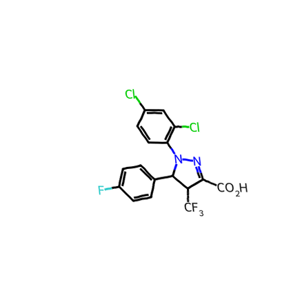 O=C(O)C1=NN(c2ccc(Cl)cc2Cl)C(c2ccc(F)cc2)C1C(F)(F)F